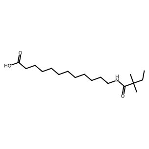 CCC(C)(C)C(=O)NCCCCCCCCCCCC(=O)O